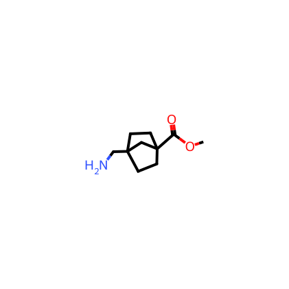 COC(=O)C12CCC(CN)(CC1)C2